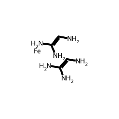 NC=C(N)N.NC=C(N)N.[Fe]